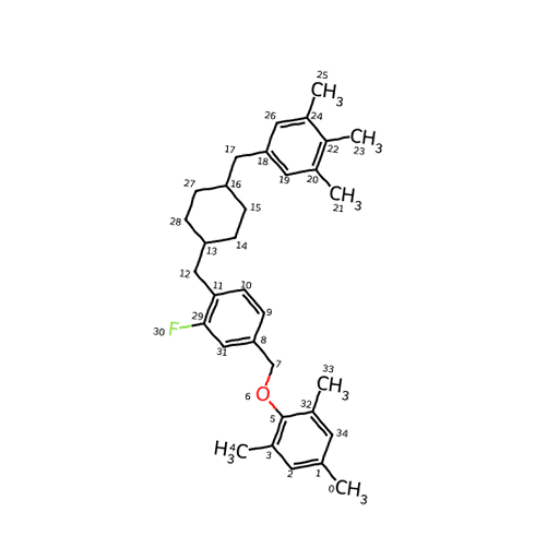 Cc1cc(C)c(OCc2ccc(CC3CCC(Cc4cc(C)c(C)c(C)c4)CC3)c(F)c2)c(C)c1